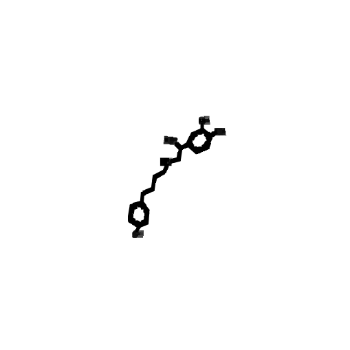 Oc1ccc(CCCCNCC(O)c2ccc(O)c(O)c2)cc1